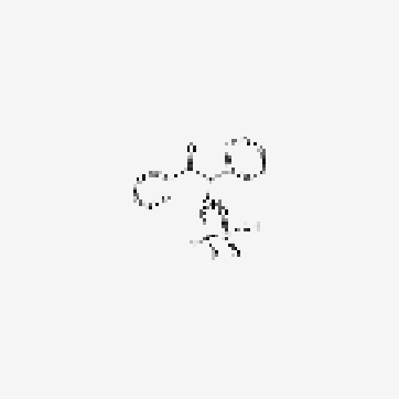 O=C(c1ccccc1)C(O)c1ccccc1.O=S(=O)(O)C(F)(F)F